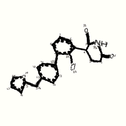 O=C1CCC(c2cccc(-c3ccc(Cc4ccco4)cc3)c2Cl)C(=O)N1